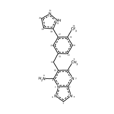 Cc1nc2ncnn2c(N)c1Cc1ccc(C(F)(F)F)c(-c2ccn[nH]2)c1